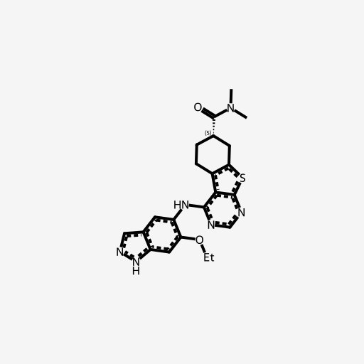 CCOc1cc2[nH]ncc2cc1Nc1ncnc2sc3c(c12)CC[C@H](C(=O)N(C)C)C3